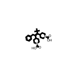 CC(C)(C)/C(=C(\Cc1ccccc1)C1CCN(C(=O)O)CC1)C1CCN(C(=O)O)CC1